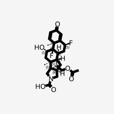 CC(=O)OCC(=O)[C@@]12CN(C(=O)O)C[C@@H]1C[C@H]1[C@@H]3C[C@H](F)C4=CC(=O)C=C[C@]4(C)[C@@]3(F)[C@@H](O)C[C@@]12C